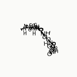 O=C1CCC(N2C(=O)c3cccc(NCCOCCOCCNCc4cccc(-n5cc(NC(=O)c6coc(-c7ccnc(NCC8CC8)c7)n6)c(C(F)(F)F)n5)c4)c3C2=O)C(=O)N1